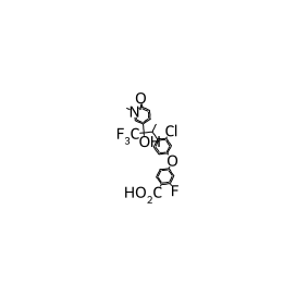 CC(c1ccc(Oc2ccc(C(=O)O)c(F)c2)cc1Cl)C(O)(c1ccc(=O)n(C)c1)C(F)(F)F